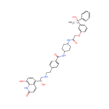 O=C(COc1cccc([C@](O)(C(=O)O)c2ccccc2)c1)NC1CCC(NC(=O)c2ccc(CCNC[C@H](O)c3ccc(O)c4[nH]c(=O)ccc34)cc2)CC1